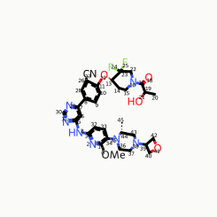 COc1nc(Nc2cc(-c3ccc(O[C@H]4CCN(C(=O)C(C)O)CC4(F)F)c(C#N)c3)ncn2)ccc1N1CCN(C2COC2)C[C@H]1C